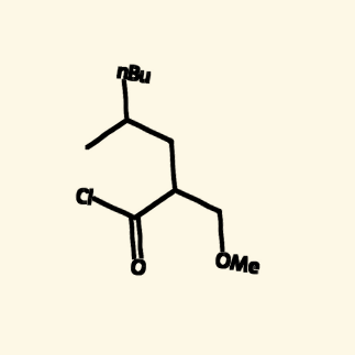 CCCCC(C)CC(COC)C(=O)Cl